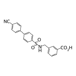 N#Cc1ccc(-c2ccc(S(=O)(=O)NCc3cccc(C(=O)O)c3)cc2)cc1